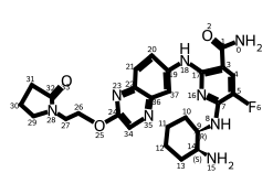 NC(=O)c1cc(F)c(N[C@@H]2CCCC[C@@H]2N)nc1Nc1ccc2nc(OCCN3CCCC3=O)cnc2c1